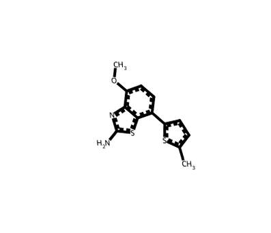 COc1ccc(-c2ccc(C)s2)c2sc(N)nc12